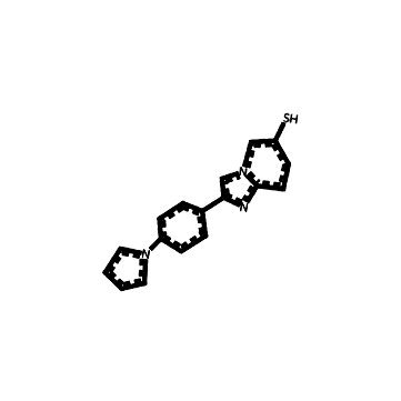 Sc1ccc2nc(-c3ccc(-n4cccc4)cc3)cn2c1